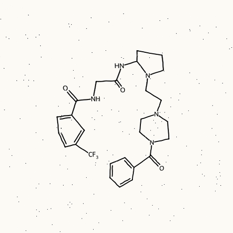 O=C(CNC(=O)c1cccc(C(F)(F)F)c1)NC1CCCN1CCN1CCN(C(=O)c2ccccc2)CC1